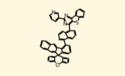 c1cncc(-c2nc(-c3cccc4c(-c5cccc6c5-c5cc7ccccc7cc5C65c6ccccc6Oc6ccccc65)cccc34)c3sc4ccccc4c3n2)c1